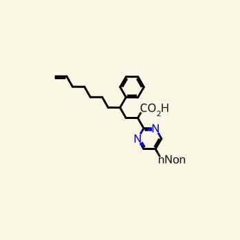 C=CCCCCCC(CC(C(=O)O)c1ncc(CCCCCCCCC)cn1)c1ccccc1